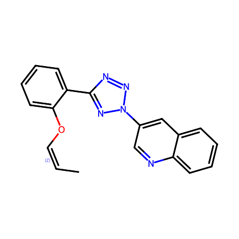 C/C=C\Oc1ccccc1-c1nnn(-c2cnc3ccccc3c2)n1